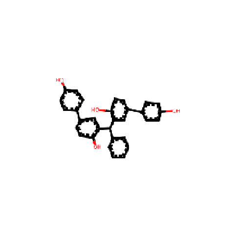 Oc1ccc(-c2ccc(O)c(C(c3ccccc3)c3cc(-c4ccc(O)cc4)ccc3O)c2)cc1